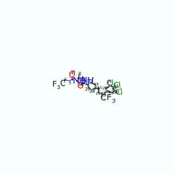 C[C@H](NC(=O)CCC(F)(F)F)NC(=O)c1ccc(C=CC(c2cc(Cl)c(Cl)c(Cl)c2)C(F)(F)F)cc1